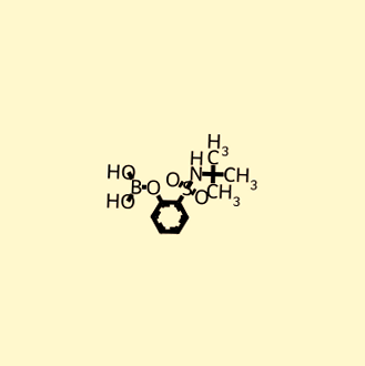 CC(C)(C)NS(=O)(=O)c1ccccc1OB(O)O